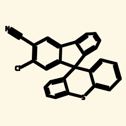 N#Cc1cc2c(cc1Cl)C1(c3ccccc3Sc3ccccc31)c1ccccc1-2